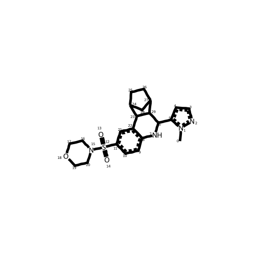 Cn1nccc1C1Nc2ccc(S(=O)(=O)N3CCOCC3)cc2C2C3CCC(C3)C12